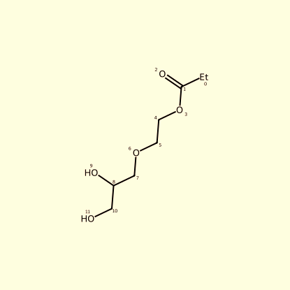 CCC(=O)OCCOCC(O)CO